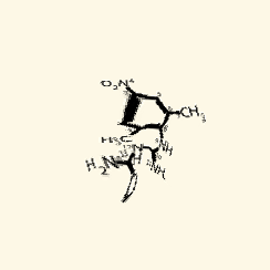 Cc1cc([N+](=O)[O-])cc(C)c1NC(=N)NC(N)=O